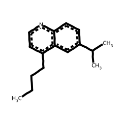 CCCCc1ccnc2ccc(C(C)C)cc12